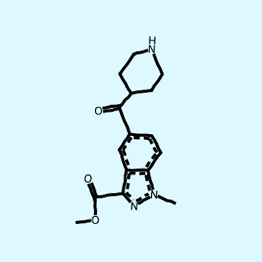 COC(=O)c1nn(C)c2ccc(C(=O)C3CCNCC3)cc12